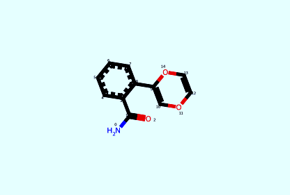 NC(=O)c1ccccc1C1=COC=CO1